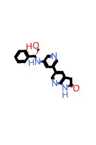 O=C1Cc2cc(-c3cncc(N[C@@H](CO)c4ccccc4)c3)cnc2N1